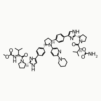 COC(=O)N[C@H](C(=O)N1CCC[C@H]1c1nc(-c2ccc([C@@H]3CC[C@@H](c4ccc(-c5c[nH]c([C@@H]6CCCN6C(=O)[C@@H](OC(N)=O)C(C)C)n5)cc4)N3c3ccc(N4CCCCC4)nc3)cc2)c[nH]1)C(C)C